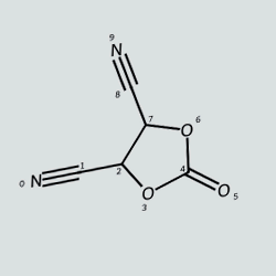 N#CC1OC(=O)OC1C#N